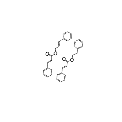 O=C(/C=C/c1ccccc1)OC/C=C/c1ccccc1.O=C(/C=C/c1ccccc1)OCCc1ccccc1